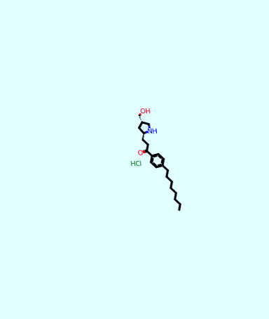 CCCCCCCCc1ccc(C(=O)CC[C@H]2C[C@H](CO)CN2)cc1.Cl